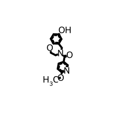 COc1ccc(C(=O)N2CCOc3ccc(O)cc3C2)cn1